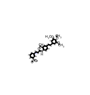 COc1cc(C=Cc2cc(OC)c(OC)c(OC)c2)ccc1NC(=O)/C=C/c1cccc([N+](=O)[O-])c1